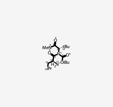 CNC(=O)[C@@H](N(C(=O)OCC(C)C)C(=O)[C@@H](N)CC(C)C)C(C)(C)C